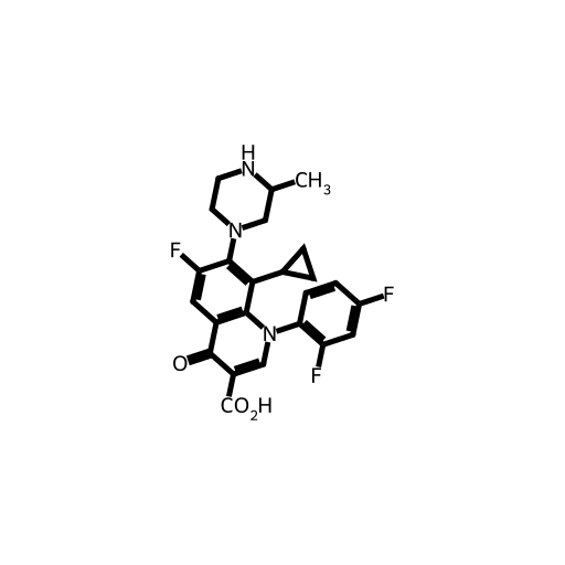 CC1CN(c2c(F)cc3c(=O)c(C(=O)O)cn(-c4ccc(F)cc4F)c3c2C2CC2)CCN1